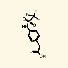 O=C(O)Cc1ccc(NS(=O)(=O)C(F)(F)F)cc1